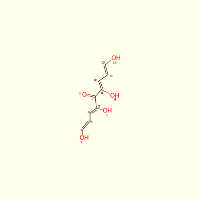 O=C(C(O)=CC=CO)C(O)=CC=CO